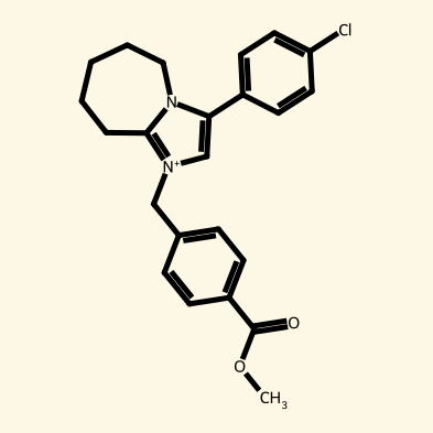 COC(=O)c1ccc(C[n+]2cc(-c3ccc(Cl)cc3)n3c2CCCCC3)cc1